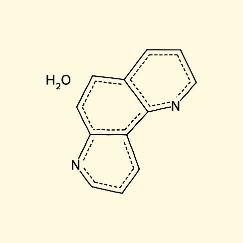 O.c1cnc2c(c1)ccc1ncccc12